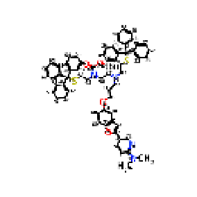 CN(C)c1ccc(-c2cc3cc(OCCCN(CCSC(c4ccccc4)(c4ccccc4)c4ccccc4)CCN(CCSC(c4ccccc4)(c4ccccc4)c4ccccc4)C(=O)OC(C)(C)C)ccc3o2)cn1